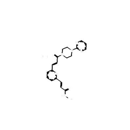 Cl.O=C(/C=C/c1cccc(/C=C/C(=O)N2CCN(c3ncccn3)CC2)n1)NO